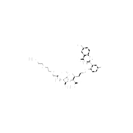 CCCOCCOCC(=O)N[C@@H]1C(=O)N2C(C(=O)O)=C(/C=C/COc3ccc(Cl)cc3-c3nc4ccc(Cl)cc4c(=O)[nH]3)C[S+]([O-])C12